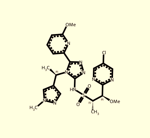 COc1cccc(-c2nnc(NS(=O)(=O)[C@@H](C)[C@H](OC)c3ncc(Cl)cn3)n2[C@H](C)c2cnn(C)c2)n1